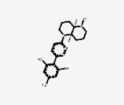 CC(=O)N1CCC[C@@H]2[C@H]1CCCN2c1ccc(-c2c(C)cc(C(F)(F)F)cc2O)nn1